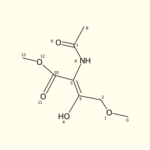 COCC(O)=C(NC(C)=O)C(=O)OC